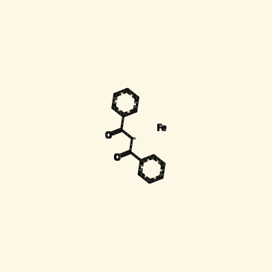 O=C([CH]C(=O)c1ccccc1)c1ccccc1.[Fe]